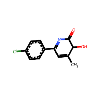 CC1=CC(c2ccc(Cl)cc2)=NC(=O)C1O